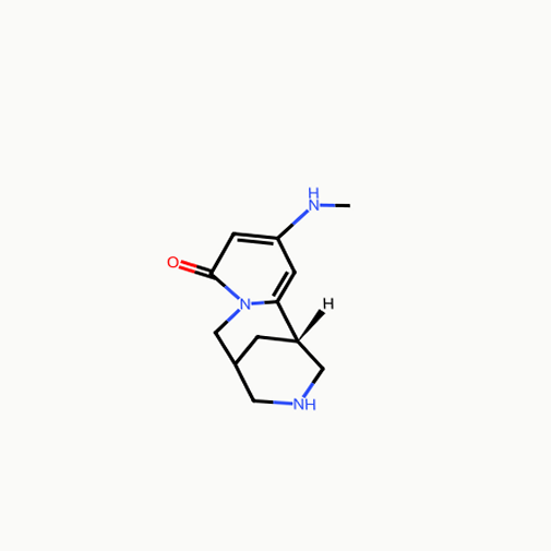 CNc1cc2n(c(=O)c1)CC1CNC[C@@H]2C1